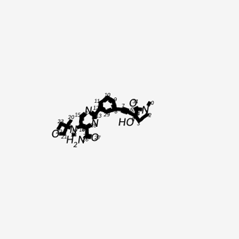 CN1CC[C@@](O)(C#Cc2cccc(-c3ncc(N(C)C4(C)COC4)c(C(N)=O)n3)c2)C1=O